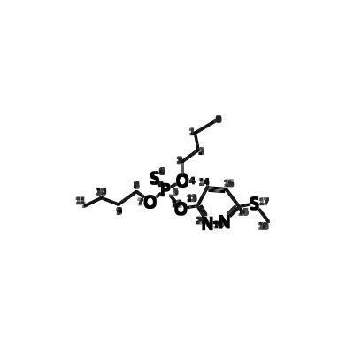 CCCCOP(=S)(OCCCC)Oc1ccc(SC)nn1